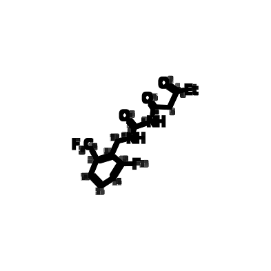 CCC(=O)CC(=O)NC(=O)NCc1c(F)cccc1C(F)(F)F